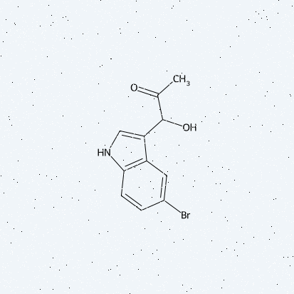 CC(=O)C(O)c1c[nH]c2ccc(Br)cc12